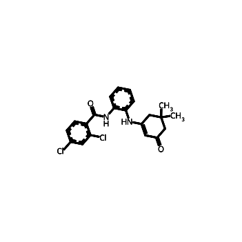 CC1(C)CC(=O)C=C(Nc2ccccc2NC(=O)c2ccc(Cl)cc2Cl)C1